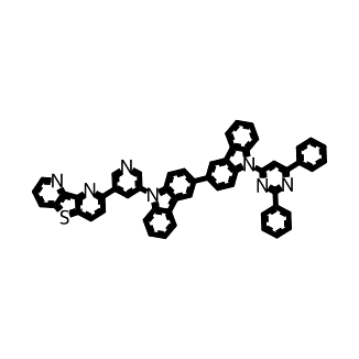 c1ccc(-c2cc(-n3c4ccccc4c4cc(-c5ccc6c(c5)c5ccccc5n6-c5cncc(-c6ccc7sc8cccnc8c7n6)c5)ccc43)nc(-c3ccccc3)n2)cc1